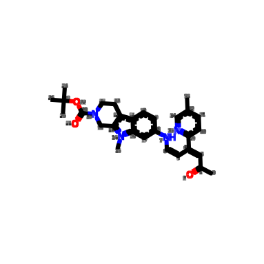 CC(=O)/C=C(\C=C/Nc1ccc2c3c(n(C)c2c1)CN(C(=O)OC(C)(C)C)CC3)c1ccc(C)cn1